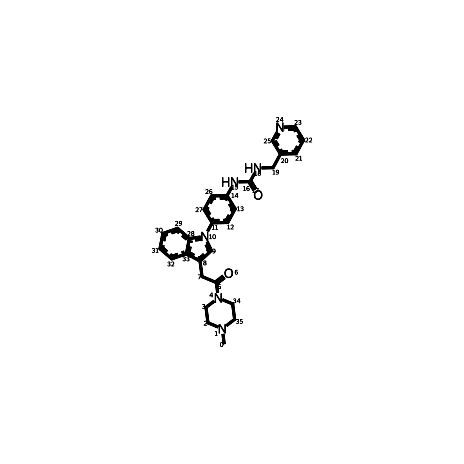 CN1CCN(C(=O)Cc2cn(-c3ccc(NC(=O)NCc4cccnc4)cc3)c3ccccc23)CC1